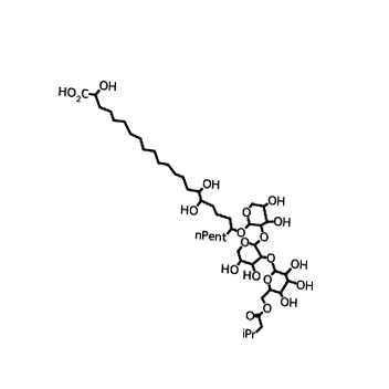 CCCCCC(CCCC(O)C(O)CCCCCCCCCCCCCC(O)C(=O)O)OC1OCC(O)C(O)C1OC1OCC(O)C(O)C1OC1OC(COC(=O)CC(C)C)C(O)C(O)C1O